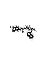 CN(CCN/N=C/c1ccc(O)c(Br)c1)CCN(C)Cc1cccc2ccccc12